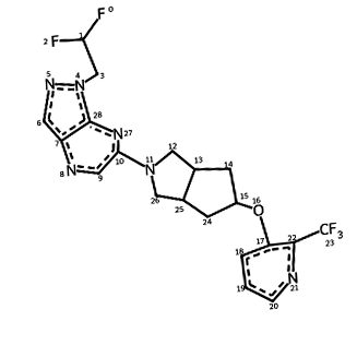 FC(F)Cn1ncc2ncc(N3CC4CC(Oc5cccnc5C(F)(F)F)CC4C3)nc21